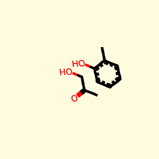 CC(=O)CO.Cc1ccccc1O